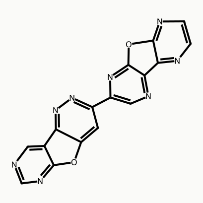 c1ncc2c(n1)oc1cc(-c3cnc4c(n3)oc3nccnc34)nnc12